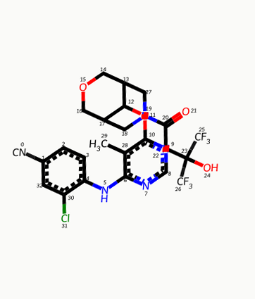 [C-]#[N+]c1ccc(Nc2ncnc(OC3C4COCC3CN(C(=O)CC(O)(C(F)(F)F)C(F)(F)F)C4)c2C)c(Cl)c1